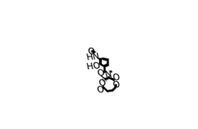 C[C@@H]1OC(=O)CCCOC(=O)[C@@H]1N(C)C(=O)c1cccc(NC=O)c1O